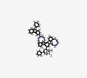 N=C(/C=C(\N)c1ccccc1)c1cc(N2C/C=C\C=C/Cc3ccccc32)cc(N2C/C=C\C(c3ccc4c(c3)c3ccccc3n4-c3ccccc3)=C/Cc3ccccc32)c1